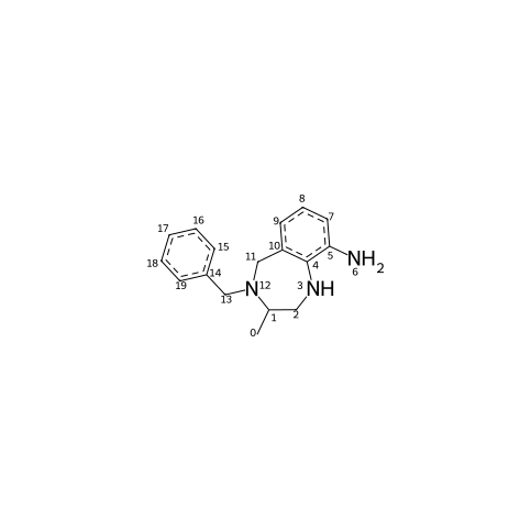 CC1CNc2c(N)cccc2CN1Cc1ccccc1